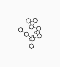 c1ccc(-c2ccc(-c3nc(-c4ccccc4)cc(-c4cccc5c4oc4c(-c6cccc7c6-c6ccccc6C76CCCCC6)cccc45)n3)cc2)cc1